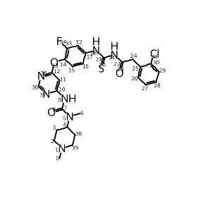 CN1CCC(N(C)C(=O)Nc2cc(Oc3ccc(NC(=S)NC(=O)Cc4ccccc4Cl)cc3F)ncn2)CC1